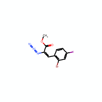 COC(=O)/C(=C\c1ccc(I)cc1Br)N=[N+]=[N-]